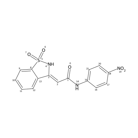 O=C(C=C1NS(=O)(=O)c2ccccc21)Nc1ccc([N+](=O)[O-])cc1